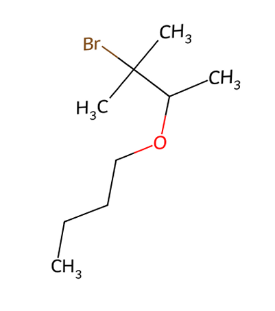 CCCCOC(C)C(C)(C)Br